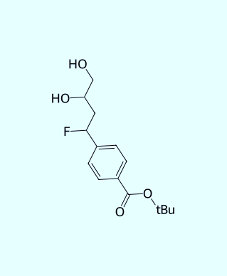 CC(C)(C)OC(=O)c1ccc(C(F)CC(O)CO)cc1